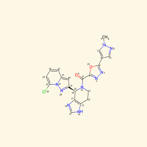 Cn1cc(-c2nnc(C(=O)N3CCc4[nH]cnc4[C@H]3c3cc4cccc(Cl)n4n3)o2)cn1